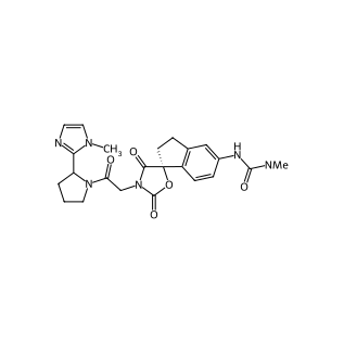 CNC(=O)Nc1ccc2c(c1)CC[C@@]21OC(=O)N(CC(=O)N2CCCC2c2nccn2C)C1=O